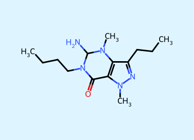 CCCCN1C(=O)c2c(c(CCC)nn2C)N(C)C1N